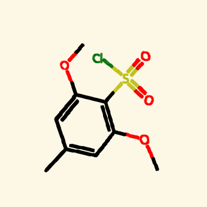 COc1cc(C)cc(OC)c1S(=O)(=O)Cl